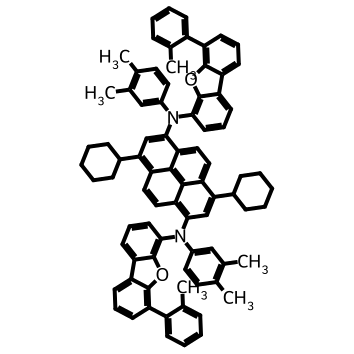 Cc1ccc(N(c2cc(C3CCCCC3)c3ccc4c(N(c5ccc(C)c(C)c5)c5cccc6c5oc5c(-c7ccccc7C)cccc56)cc(C5CCCCC5)c5ccc2c3c54)c2cccc3c2oc2c(-c4ccccc4C)cccc23)cc1C